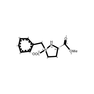 COC(=O)[C@@H]1CC[N+](Cc2ccccc2)(C(=O)[O-])N1